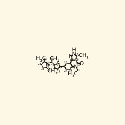 CCn1c(=O)c2c(C)[nH]nc2c2cc(-c3ccc(C(C)N4C(C)CCC4C)s3)ccc21